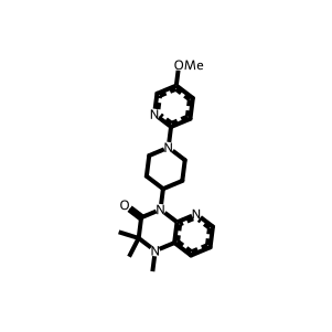 COc1ccc(N2CCC(N3C(=O)C(C)(C)N(C)c4cccnc43)CC2)nc1